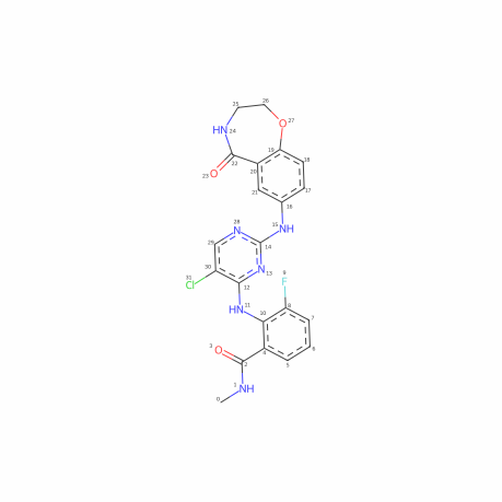 CNC(=O)c1cccc(F)c1Nc1nc(Nc2ccc3c(c2)C(=O)NCCO3)ncc1Cl